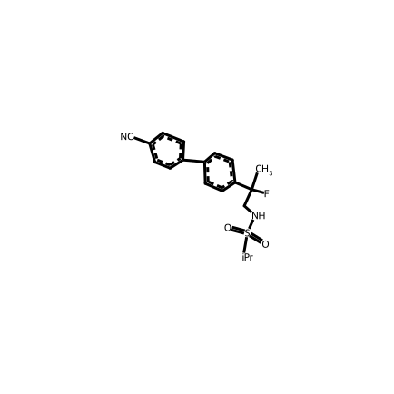 CC(C)S(=O)(=O)NCC(C)(F)c1ccc(-c2ccc(C#N)cc2)cc1